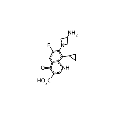 NC1CN(c2c(F)cc3c(=O)c(C(=O)O)c[nH]c3c2C2CC2)C1